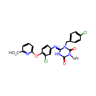 CCCn1c(=O)[nH]/c(=N\c2ccc(Oc3cccc(C(=O)O)n3)c(Cl)c2)n(Cc2ccc(Cl)cc2)c1=O